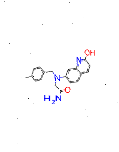 Cc1ccc(CN(CC(N)=O)c2ccc3ccc(O)nc3c2)cc1